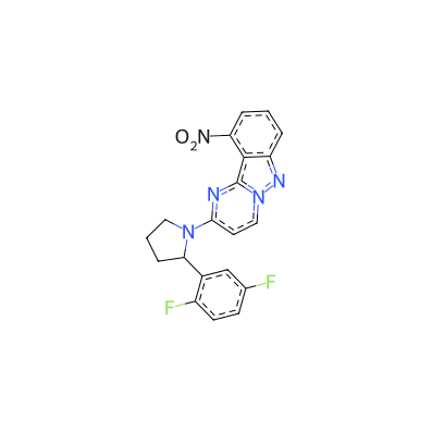 O=[N+]([O-])c1cccc2nn3ccc(N4CCCC4c4cc(F)ccc4F)nc3c12